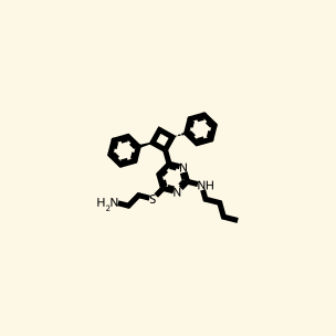 CCCCNc1nc(SCCN)cc(C2[C@@H](c3ccccc3)C[C@@H]2c2ccccc2)n1